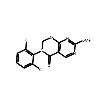 CSc1ncc2c(n1)OCN(c1c(Cl)cccc1Cl)C2=O